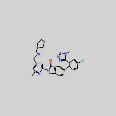 Cc1cc(CNCC2CCCC2)cc(N2Cc3ccc(-c4ccc(F)cc4-c4nncn4C)cc3C2=O)n1